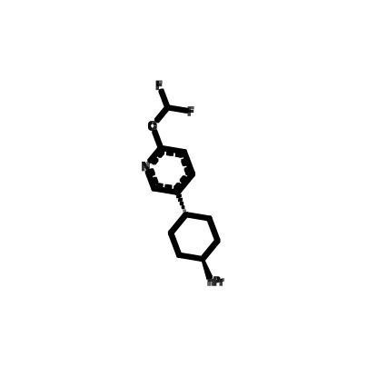 CCC[C@H]1CC[C@H](c2ccc(OC(F)F)nc2)CC1